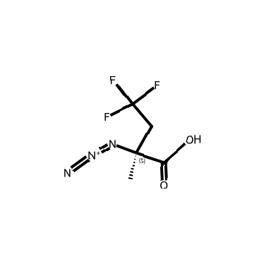 C[C@@](CC(F)(F)F)(N=[N+]=[N-])C(=O)O